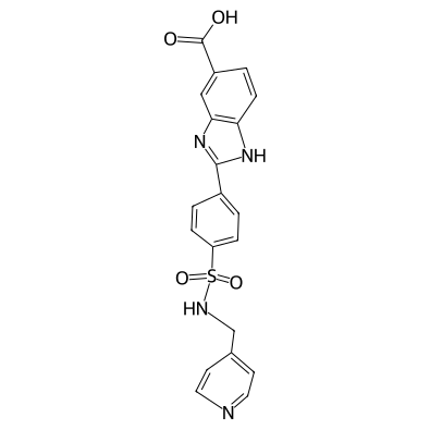 O=C(O)c1ccc2[nH]c(-c3ccc(S(=O)(=O)NCc4ccncc4)cc3)nc2c1